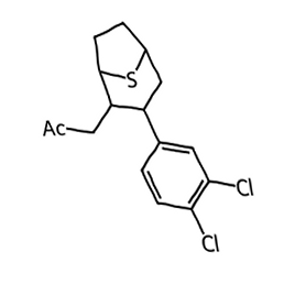 CC(=O)CC1C2CCC(CC1c1ccc(Cl)c(Cl)c1)S2